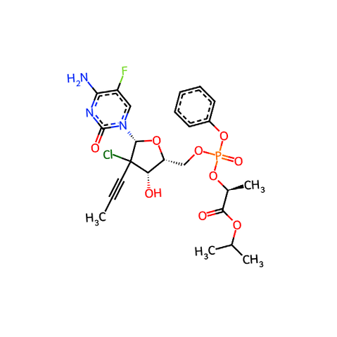 CC#CC1(Cl)[C@@H](O)[C@@H](COP(=O)(Oc2ccccc2)O[C@@H](C)C(=O)OC(C)C)O[C@H]1n1cc(F)c(N)nc1=O